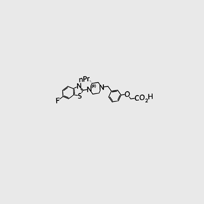 CCC[C@@H]1CN(Cc2cccc(OCC(=O)O)c2)CCN1c1nc2ccc(F)cc2s1